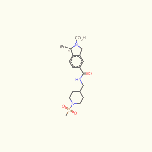 CC(C)[C@@H]1c2ccc(C(=O)NCC3CCN(S(C)(=O)=O)CC3)cc2CN1C(=O)O